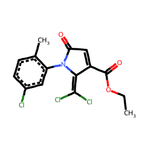 CCOC(=O)C1=CC(=O)N(c2cc(Cl)ccc2C)C1=C(Cl)Cl